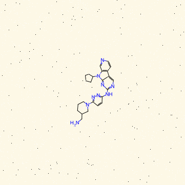 NCC1CCCN(c2ccc(Nc3ncc4c5ccncc5n(C5CCCC5)c4n3)nn2)C1